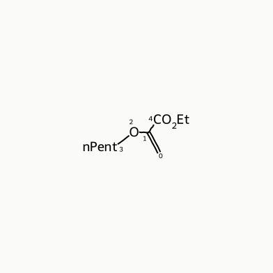 C=C(OCCCCC)C(=O)OCC